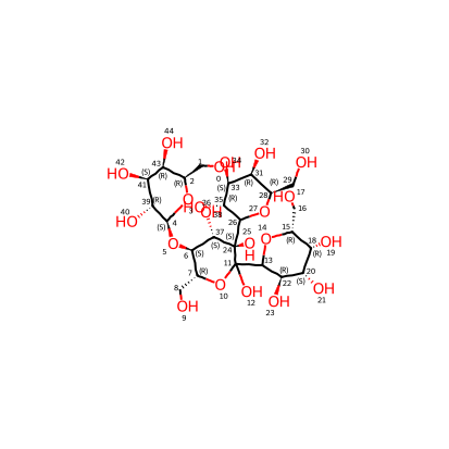 OC[C@H]1O[C@@H](O[C@@H]2[C@@H](CO)OC(O)(C3O[C@H](CO)[C@H](O)[C@H](O)[C@H]3O)[C@@](O)(C3O[C@H](CO)[C@H](O)[C@H](O)[C@H]3O)[C@H]2O)[C@H](O)[C@@H](O)[C@H]1O